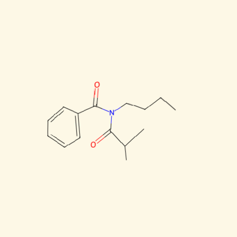 CCCCN(C(=O)c1ccccc1)C(=O)C(C)C